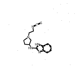 S=C=NCCN1CCC(Nc2nc3ccccc3[nH]2)C1